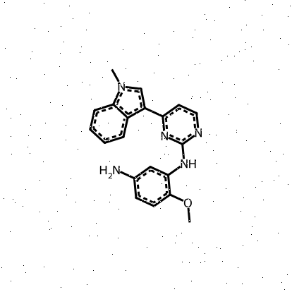 COc1ccc(N)cc1Nc1nccc(-c2cn(C)c3ccccc23)n1